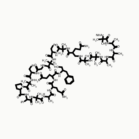 CC(=O)NC(C)(C)C(=O)NC(C)C(=O)NC(C)C(=O)NC(C)C(=O)NC(C)(C)C(=O)NC(C)(C)C(=O)NCC(CCC(N)=O)C(=O)NC(C)(C)C(=O)NC(CC(C)C)C(=O)NC(C)(C)C(=O)NCC(=O)NC(CC(C)C)C(=O)NC(C)(C)C(=O)N1CCCC1C(=O)NC(C(=O)NC(C)(C)C(=O)NC(C)C(=O)NC(CCC(N)=O)C(=O)NC(CCC(N)=O)C(=O)NC(CO)Cc1ccccc1)C(C)C